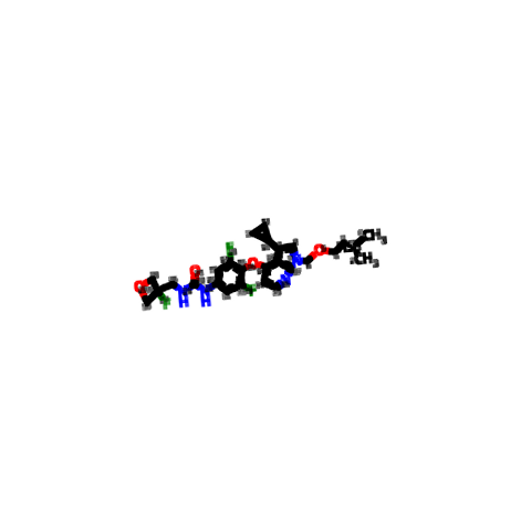 C[SiH](C)CCOCn1cc(C2CC2)c2c(Oc3c(F)cc(NC(=O)NCC4(F)COC4)cc3F)ccnc21